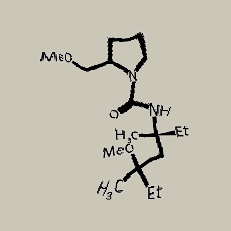 CCC(C)(C[C@@](C)(CC)NC(=O)N1CCCC1COC)OC